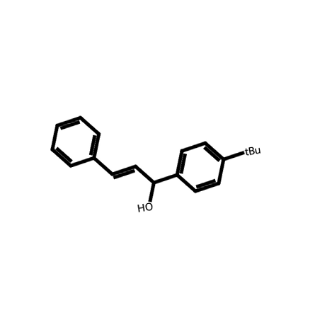 CC(C)(C)c1ccc(C(O)/C=C/c2ccccc2)cc1